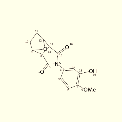 COc1ccc(N2C(=O)C3C4CCC(O4)C3C2=O)cc1O